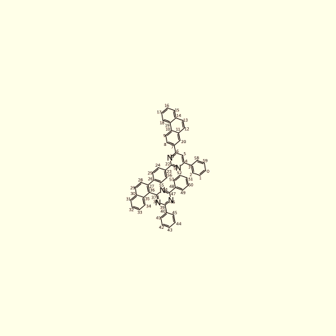 c1ccc(-c2cc(-c3ccc4c(ccc5ccccc54)c3)nc(-c3ccc(-c4ccc5ccccc5c4-c4nc(-c5ccccc5)nc(-c5ccccc5)n4)cc3)n2)cc1